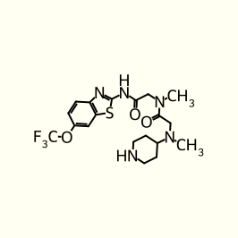 CN(CC(=O)Nc1nc2ccc(OC(F)(F)F)cc2s1)C(=O)CN(C)C1CCNCC1